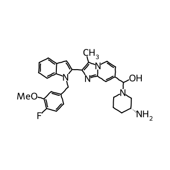 COc1cc(Cn2c(-c3nc4cc(C(O)N5CCC[C@@H](N)C5)ccn4c3C)cc3ccccc32)ccc1F